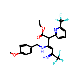 CCOC(=O)C(/C(=C/C(=N)C(F)(F)F)NCc1ccc(OC)cc1)c1cccc(C(F)(F)F)n1